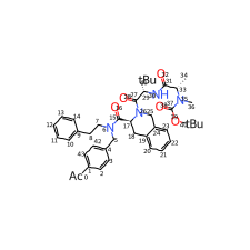 CC(=O)c1ccc(CN(CCc2ccccc2)C(=O)[C@@H]2Cc3ccccc3CN2C(=O)[C@@H](NC(=O)[C@H](C)N(C)C(=O)OC(C)(C)C)C(C)(C)C)cc1